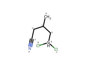 CC(CC#N)C[SiH](Cl)Cl